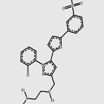 CCN(CC)CCN(CC)Cc1cc(-c2ccc(-c3cccc(S(C)(=O)=O)c3)s2)n(-c2ccccc2Cl)n1